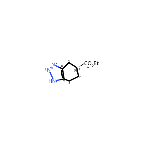 CCOC(=O)[C@@H]1CCc2[nH]nnc2C1